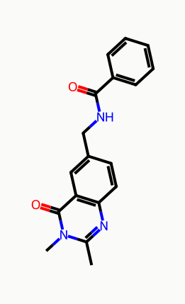 Cc1nc2ccc(CNC(=O)c3ccccc3)cc2c(=O)n1C